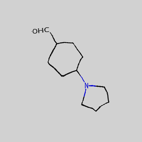 O=[C]C1CCC(N2CCCC2)CC1